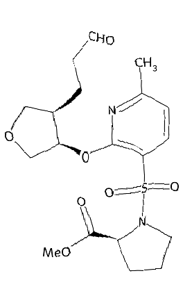 COC(=O)[C@@H]1CCCN1S(=O)(=O)c1ccc(C)nc1O[C@H]1COC[C@H]1CCC=O